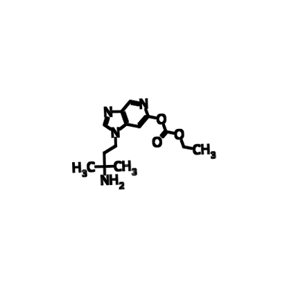 CCOC(=O)Oc1cc2c(cn1)ncn2CCC(C)(C)N